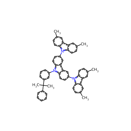 Cc1ccc2c(c1)c1cc(C)ccc1n2-c1ccc2c(c1)c1cc(-n3c4ccc(C)cc4c4cc(C)ccc43)ccc1n2-c1cccc(C(C)(C)c2ccccc2)c1